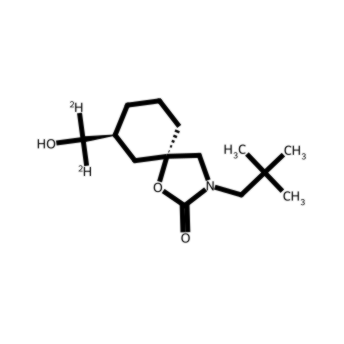 [2H]C([2H])(O)[C@H]1CCC[C@]2(C1)CN(CC(C)(C)C)C(=O)O2